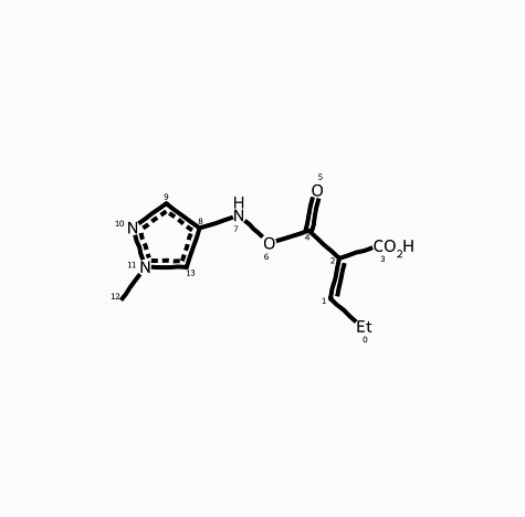 CCC=C(C(=O)O)C(=O)ONc1cnn(C)c1